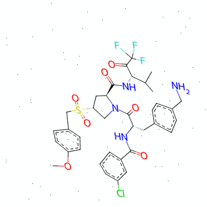 COc1ccc(CS(=O)(=O)[C@@H]2C[C@@H](C(=O)N[C@H](C(=O)C(F)(F)F)C(C)C)N(C(=O)[C@H](Cc3ccc(CN)cc3)NC(=O)c3cccc(Cl)c3)C2)cc1